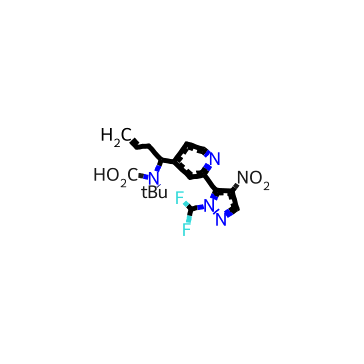 C=CCC(c1ccnc(-c2c([N+](=O)[O-])cnn2C(F)F)c1)N(C(=O)O)C(C)(C)C